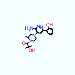 CC1CN(c2cc(-c3ccccc3O)nnc2N)CCN1C(=O)C(C)(C)O